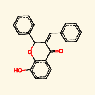 O=C1C(=Cc2ccccc2)C(c2ccccc2)Oc2c(O)cccc21